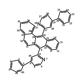 c1ccc(-c2ccnc(-c3c4ccccc4c(-c4cc(-c5ccccc5)ccn4)c4c3ccc3ccccc34)c2)cc1